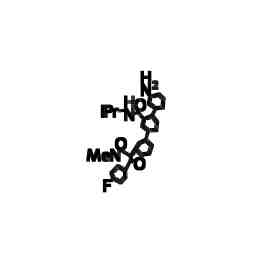 CNC(=O)c1c(-c2ccc(F)cc2)oc2ccc(-c3ccc(-c4cccc(N)c4)c(C(=O)NCC(C)C)c3)cc12